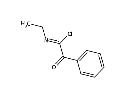 CCN=C(Cl)C(=O)c1ccccc1